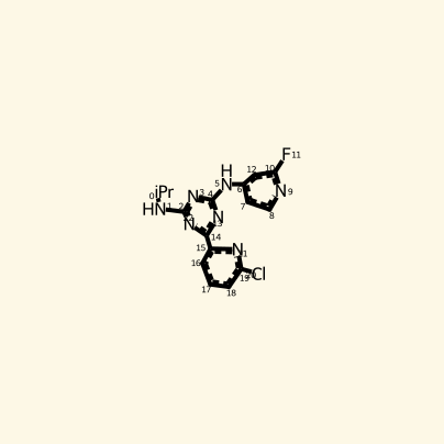 CC(C)Nc1nc(Nc2ccnc(F)c2)nc(-c2cccc(Cl)n2)n1